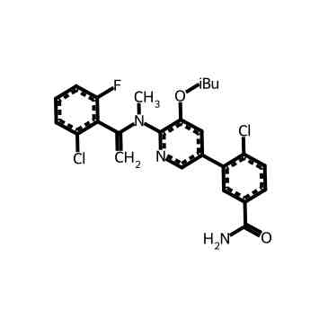 C=C(c1c(F)cccc1Cl)N(C)c1ncc(-c2cc(C(N)=O)ccc2Cl)cc1OC(C)CC